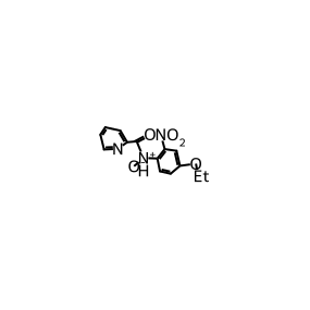 CCOc1ccc([NH+]([O-])C(=O)c2ccccn2)c([N+](=O)[O-])c1